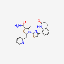 CC1=C(C(N)=O)SC(Cc2ccccn2)N1c1nc(-c2cccc3c2NC(=O)CC3)cs1